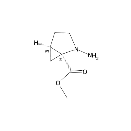 COC(=O)[C@]12C[C@H]1CCN2N